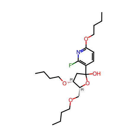 CCCCOC[C@H]1OC(O)(c2ccc(OCCCC)nc2F)C[C@H]1OCCCC